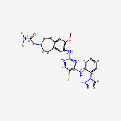 COc1cc2c(cc1Nc1ncc(Cl)c(Nc3ccccc3-n3cccn3)n1)CCN(CC(=O)N(C)C)CC2